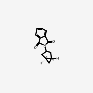 O=C1c2ccccc2C(=O)N1C1C[C@@H]2C[C@H]2C1